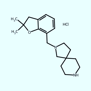 CC1(C)Cc2cccc(CN3CCC4(CCNCC4)C3)c2O1.Cl